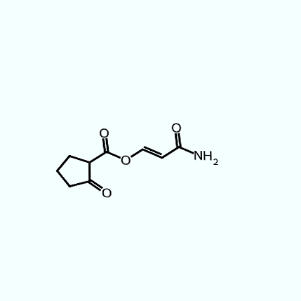 NC(=O)C=COC(=O)C1CCCC1=O